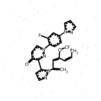 C=C(/C=C(\C=C/C)OC(F)(F)F)n1nccc1-c1nn(-c2ccc(-n3cccn3)cc2F)ccc1=O